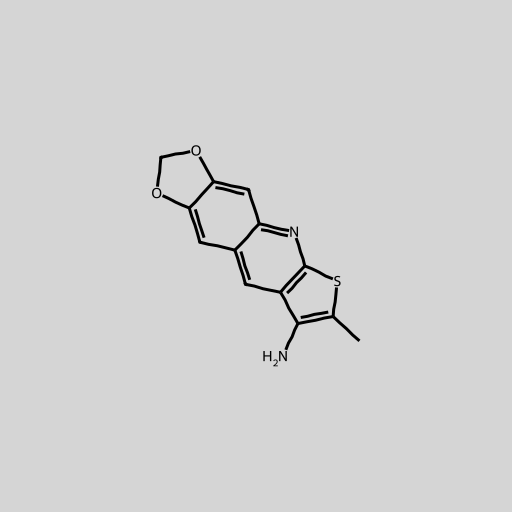 Cc1sc2nc3cc4c(cc3cc2c1N)OCO4